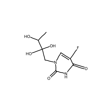 CC(O)C(O)(O)Cn1cc(F)c(=O)[nH]c1=O